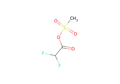 CS(=O)(=O)OC(=O)C(F)F